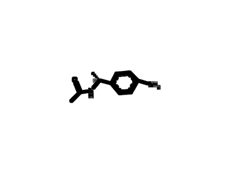 CC(=O)N[C@H](C)c1ccc(N)cc1